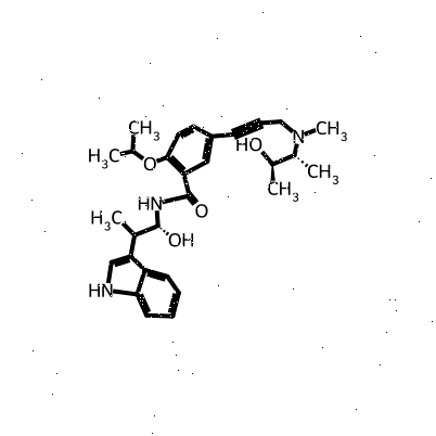 CC(C)Oc1ccc(C#CCN(C)[C@H](C)[C@@H](C)O)cc1C(=O)N[C@H](O)C(C)c1c[nH]c2ccccc12